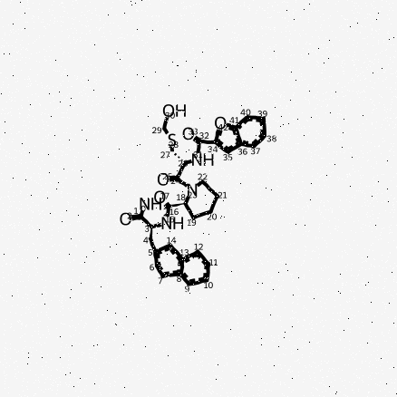 NC(=O)[C@H](Cc1ccc2ccccc2c1)NC(=O)[C@@H]1CCCCN1C(=O)[C@H](CSCO)NC(=O)c1cc2ccccc2o1